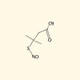 CC(C)(CC(=O)C#N)SN=O